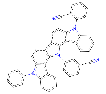 N#Cc1cccc(-n2c3c(ccc4c3c3ccccc3n4-c3ccccc3)c3ccc4c(c5ccccc5n4-c4ccccc4C#N)c32)c1